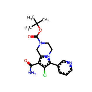 CC(C)(C)OC(=O)N1CCn2c(c(C(N)=O)c(Cl)c2-c2cccnc2)C1